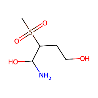 CS(=O)(=O)C(CCO)C(N)O